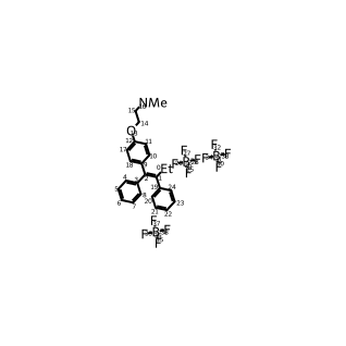 CCC(=C(c1ccccc1)c1ccc(OCCNC)cc1)c1ccccc1.F[B-](F)(F)F.F[B-](F)(F)F.F[B-](F)(F)F